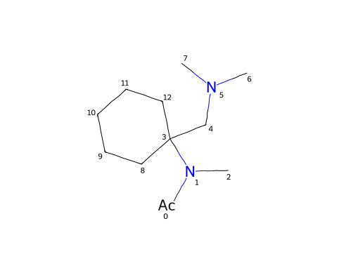 CC(=O)N(C)C1(CN(C)C)CCCCC1